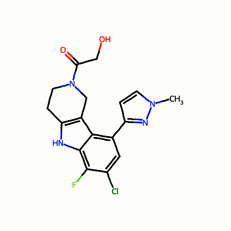 Cn1ccc(-c2cc(Cl)c(F)c3[nH]c4c(c23)CN(C(=O)CO)CC4)n1